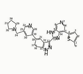 Cc1ccc(-c2cncc3[nH]c(-c4n[nH]c5ccc(-c6cncc(CN7CCCC7)c6)cc45)nc23)s1